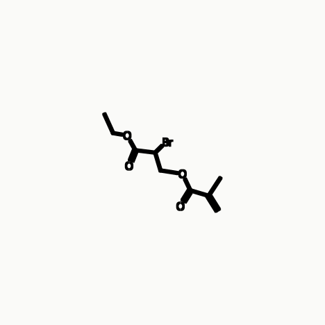 C=C(C)C(=O)OCC(Br)C(=O)OCC